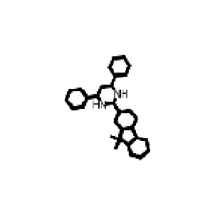 CC1(C)C2CCCCC2C2CCC(C3NC(C4=CCCCC4)CC(C4CCCCC4)N3)CC21